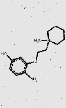 C[N+]1(CCOc2cc(O)ccc2N)CCCCC1